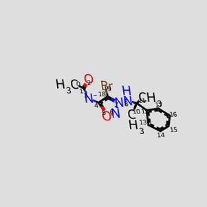 CC(=O)[N-]c1on[n+](NC(C)(C)c2ccccc2)c1Br